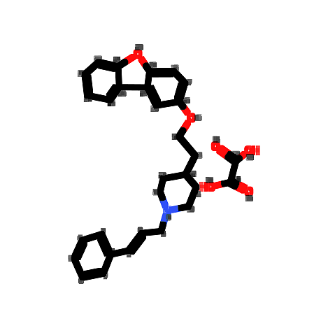 C(=Cc1ccccc1)CN1CCC(CCOc2ccc3oc4ccccc4c3c2)CC1.O=C(O)C(=O)O